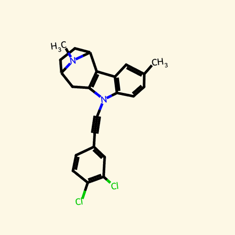 Cc1ccc2c(c1)c1c(n2C#Cc2ccc(Cl)c(Cl)c2)CC2CCC1N2C